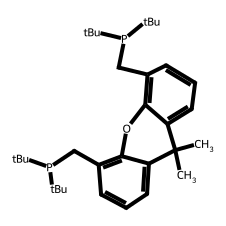 CC1(C)c2cccc(CP(C(C)(C)C)C(C)(C)C)c2Oc2c(CP(C(C)(C)C)C(C)(C)C)cccc21